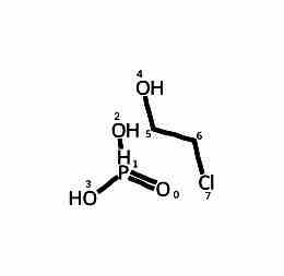 O=[PH](O)O.OCCCl